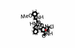 COc1cccc2[nH]c(C(=O)NC(CC3CCCCC3)C(=O)NC(CC3CCNC3=O)C(=O)c3nc(Cl)cs3)cc12